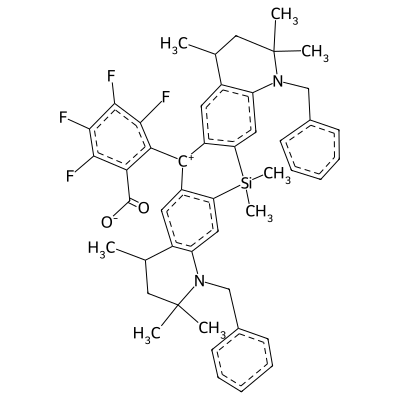 CC1CC(C)(C)N(Cc2ccccc2)c2cc3c(cc21)[C+](c1c(F)c(F)c(F)c(F)c1C(=O)[O-])c1cc2c(cc1[Si]3(C)C)N(Cc1ccccc1)C(C)(C)CC2C